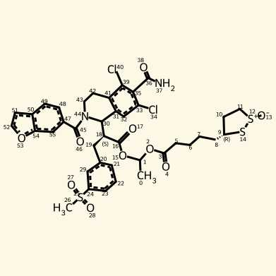 CC(OC(=O)CCCC[C@@H]1CC[S+]([O-])S1)OC(=O)[C@@H](Cc1cccc(S(C)(=O)=O)c1)C1c2cc(Cl)c(C(N)=O)c(Cl)c2CCN1C(=O)c1ccc2ccoc2c1